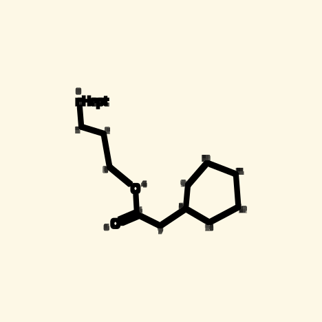 CCCCCCCCCCOC(=O)CC1CCCCC1